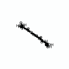 O=C(CCCC[C@H]1SC[C@H]2NC(=O)N[C@H]21)CCCOCCOCCOCCOC(=O)CCC(=O)NCCc1ccc(O)c(O)c1